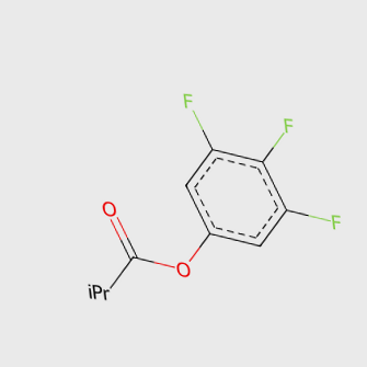 CC(C)C(=O)Oc1cc(F)c(F)c(F)c1